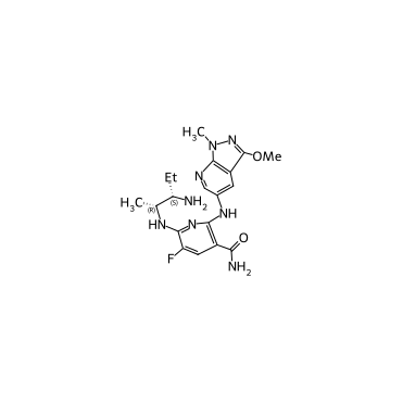 CC[C@H](N)[C@@H](C)Nc1nc(Nc2cnc3c(c2)c(OC)nn3C)c(C(N)=O)cc1F